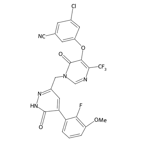 COc1cccc(-c2cc(Cn3cnc(C(F)(F)F)c(Oc4cc(Cl)cc(C#N)c4)c3=O)n[nH]c2=O)c1F